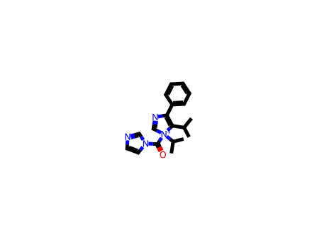 CC(C)C1=C(c2ccccc2)N=C[N+]1(C(=O)n1ccnc1)C(C)C